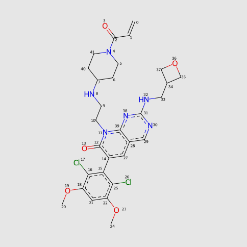 C=CC(=O)N1CCC(NCCn2c(=O)c(-c3c(Cl)c(OC)cc(OC)c3Cl)cc3cnc(NCC4COC4)nc32)CC1